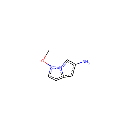 COn1ccc2cc(N)cn21